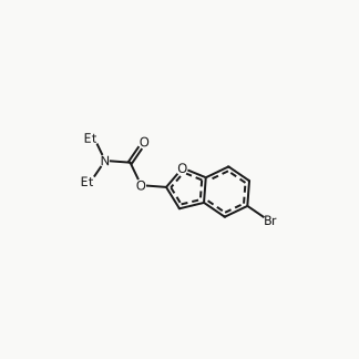 CCN(CC)C(=O)Oc1cc2cc(Br)ccc2o1